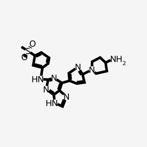 CS(=O)(=O)c1cccc(Nc2nc(-c3ccc(N4CCC(N)CC4)nc3)c3nc[nH]c3n2)c1